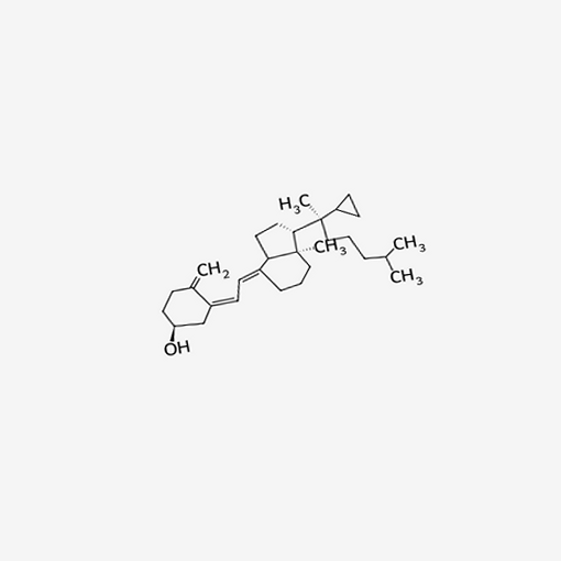 C=C1CC[C@H](O)C/C1=C/C=C1CCC[C@@]2(C)C1CC[C@@H]2[C@](C)(CCCC(C)C)C1CC1